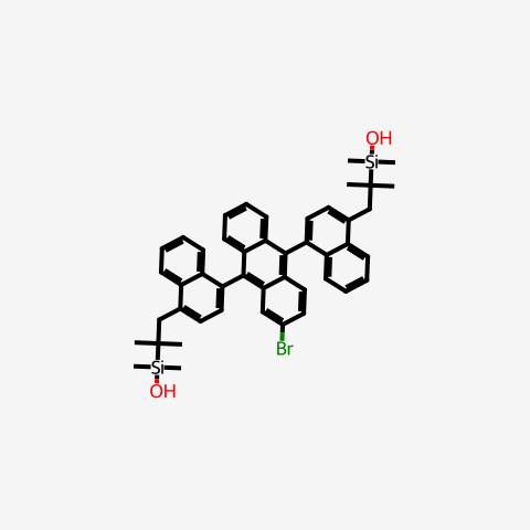 CC(C)(Cc1ccc(-c2c3ccccc3c(-c3ccc(CC(C)(C)[Si](C)(C)O)c4ccccc34)c3cc(Br)ccc23)c2ccccc12)[Si](C)(C)O